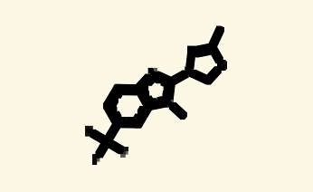 CC1=NN(c2nc3ccc(C(F)(F)F)cc3n2C)CO1